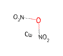 O=[N+]([O-])O[N+](=O)[O-].[Cu]